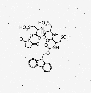 O=C(NC(CS(=O)(=O)O)C(=O)NC(CS(=O)(=O)O)C(=O)NC(CS(=O)(=O)O)C(=O)ON1C(=O)CCC1=O)OCC1c2ccccc2-c2ccccc21